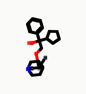 OC(CO[C@H]1CN2CCC1CC2)(c1ccccc1)C1CCCC1